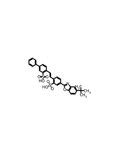 CC(C)(C)c1ccc2oc(-c3ccc(C=Cc4ccc(-c5ccccc5)cc4S(=O)(=O)O)c(S(=O)(=O)O)c3)nc2c1